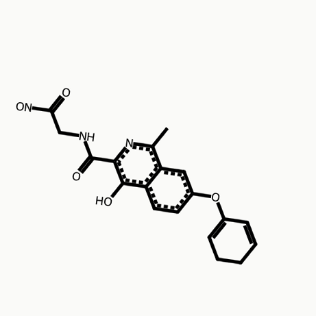 Cc1nc(C(=O)NCC(=O)N=O)c(O)c2ccc(OC3=CCCC=C3)cc12